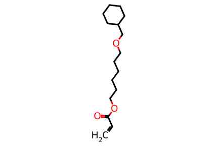 C=CC(=O)OCCCCCCOCC1CCCCC1